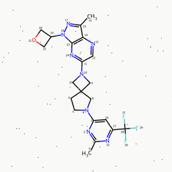 Cc1nc(N2CCC3(C2)CN(c2cnc4c(C)nn(C5COC5)c4n2)C3)cc(C(F)(F)F)n1